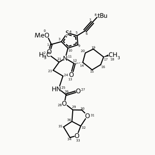 COC(=O)c1sc(C#CC(C)(C)C)cc1N(C(=O)[C@H]1CC[C@H](C)CC1)C(C)CCNC(=O)OC1COC2OCCC12